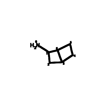 NC1CC2CCC12